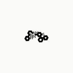 N=C(NC1C=CC=C(c2ccccc2)N1)c1ccc2c(c1)C1(CCCCC1)c1ccccc1S2